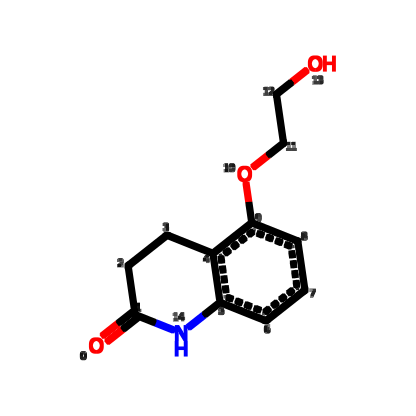 O=C1CCc2c(cccc2OCCO)N1